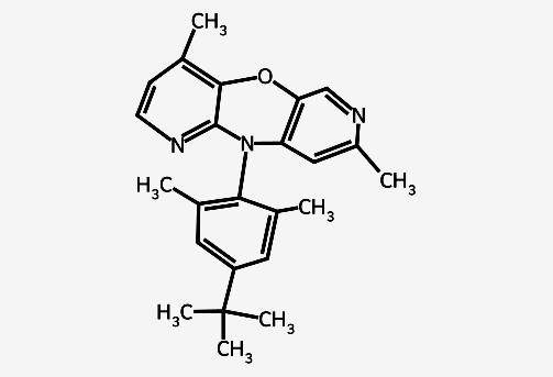 Cc1cc2c(cn1)Oc1c(C)ccnc1N2c1c(C)cc(C(C)(C)C)cc1C